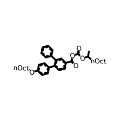 CCCCCCCCOc1ccc(-c2ccc(C(=O)OC(=O)OC(C)CCCCCCCC)cc2-c2ccccc2)cc1